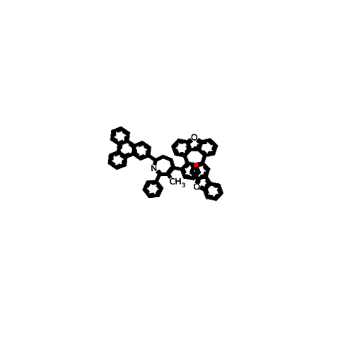 CC1=C(c2ccccc2-c2cccc3oc4cccc(-c5ccc6oc7ccccc7c6c5)c4c23)CCC(c2ccc3c4ccccc4c4ccccc4c3c2)N=C1c1ccccc1